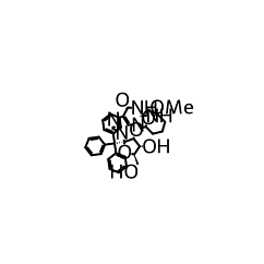 CONc1nc2c(ncn2[C@]2(C(c3ccccc3)(c3ccccc3)c3ccccc3)O[C@H](CO)[C@@H](O)[C@H]2OC2CCCCO2)c(=O)[nH]1